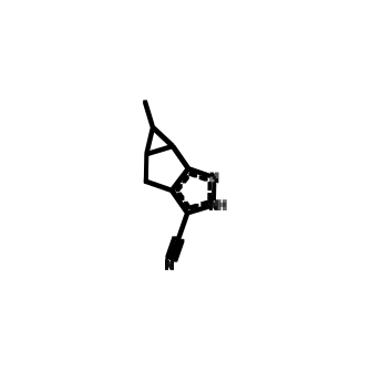 CC1C2Cc3c(n[nH]c3C#N)C12